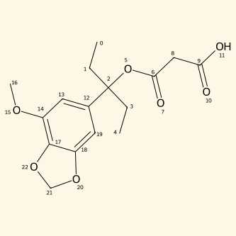 CCC(CC)(OC(=O)CC(=O)O)c1cc(OC)c2c(c1)OCO2